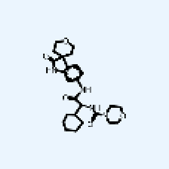 O=C(Nc1ccc2c(c1)NC(=O)C21CCOCC1)[C@@H](NC(=O)N1CCOCC1)C1CCCCC1